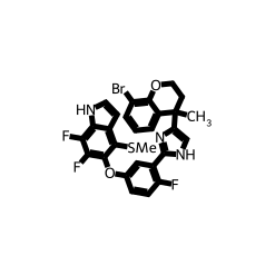 CSc1c(Oc2ccc(F)c(-c3nc(C4(C)CCOc5c(Br)cccc54)c[nH]3)c2)c(F)c(F)c2[nH]ccc12